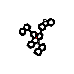 c1cc(-c2ccccc2N(c2ccc(-c3ccc4oc5ccccc5c4c3)cc2)c2cccc3ccccc23)cc(-c2cccc3ccccc23)c1